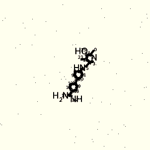 Cc1ncc(CNc2ccc(-c3ccc(C(=N)N)cc3)cc2)c(C)c1O